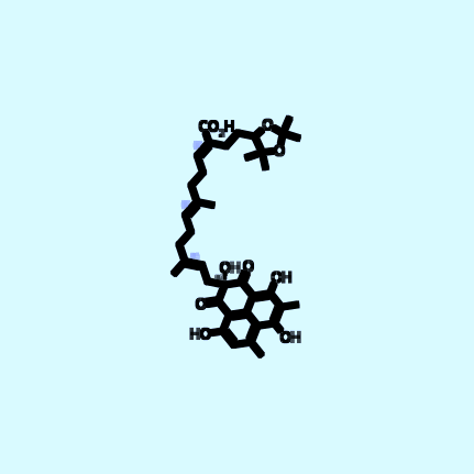 C/C(=C\CC/C(C)=C/C[C@]1(O)C(=O)c2c(O)cc(C)c3c(O)c(C)c(O)c(c23)C1=O)CC/C=C(\CCC1OC(C)(C)OC1(C)C)C(=O)O